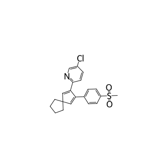 CS(=O)(=O)c1ccc(C2=CC3(C=C2c2ccc(Cl)cn2)CCCC3)cc1